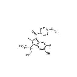 Cc1c([C@H](CC(C)C)C(=O)O)c2cc(O)c(F)cc2n1C(=O)c1ccc(OC(F)(F)F)cc1